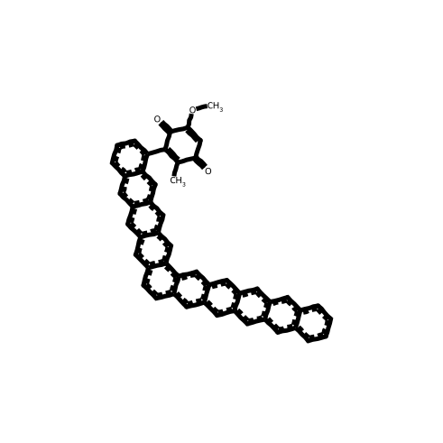 COC1=CC(=O)C(C)=C(c2cccc3cc4cc5cc6ccc7cc8cc9cc%10cc%11ccccc%11cc%10cc9cc8cc7c6cc5cc4cc23)C1=O